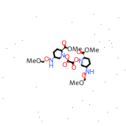 COCON[C@@H]1CC[C@@H](C(=O)OC)N(OC(=O)C(=O)ON2C[C@H](NOCOC)CC[C@H]2C(=O)OC)C1